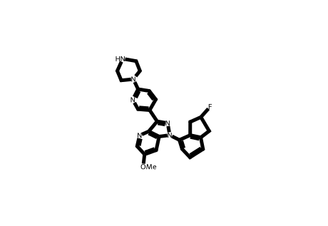 COc1cnc2c(-c3ccc(N4CCNCC4)nc3)nn(-c3cccc4c3CC(F)C4)c2c1